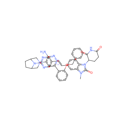 Cn1c(=O)n(C2CCC(=O)NC2=O)c2ccc(/C=C/c3cnc(N4C5CCC4CN(c4cc(-c6ccccc6OCc6ccccc6)nnc4N)C5)nc3)cc21